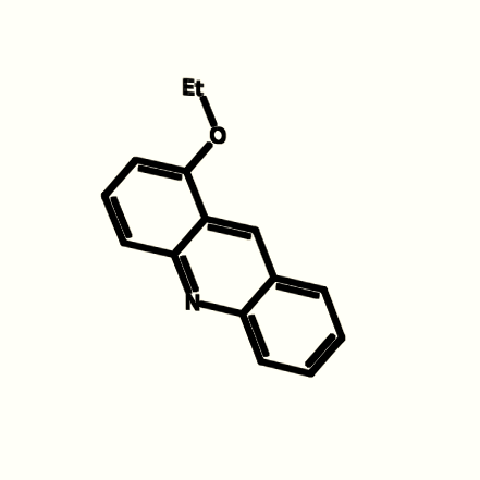 CCOc1cccc2nc3ccccc3cc12